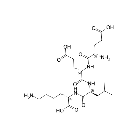 CC(C)C[C@H](NC(=O)[C@H](CCC(=O)O)NC(=O)[C@@H](N)CCC(=O)O)C(=O)N[C@@H](CCCCN)C(=O)O